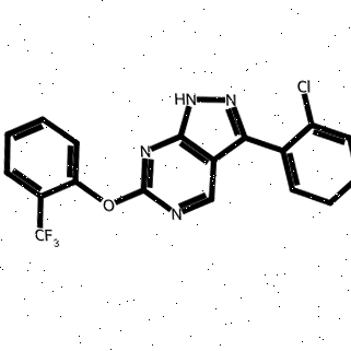 FC(F)(F)c1ccccc1Oc1ncc2c(C3=CCCC=C3Cl)n[nH]c2n1